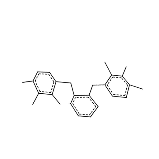 Cc1ccc(Cc2[c]cccc2Cc2ccc(C)c(C)c2C)c(C)c1C